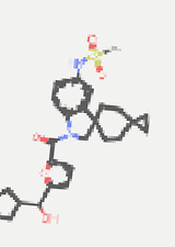 CCS(=O)(=O)Nc1ccc2c(c1)C1(CCC3(CC3)CC1)CN2C(=O)c1ccc(C(O)C2CCCC2)o1